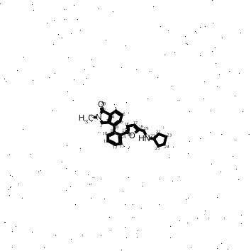 CN1Cc2c(cccc2-c2ccccc2-c2ccc(CNC3CCCC3)o2)C1=O